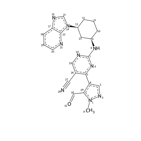 Cn1ncc(-c2nc(N[C@@H]3CCC[C@H](n4cnc5cccnc54)C3)ncc2C#N)c1C=O